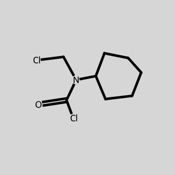 O=C(Cl)N(CCl)C1CCCCC1